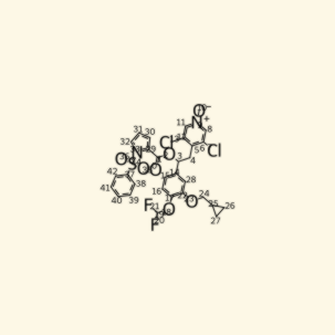 O=C(OC(Cc1c(Cl)c[n+]([O-])cc1Cl)c1ccc(OC(F)F)c(OCC2CC2)c1)c1cccn1S(=O)(=O)c1ccccc1